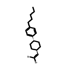 CCCCCc1ccc([C@H]2CC[C@H](C=C(Br)Br)CC2)cc1